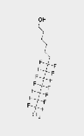 OCCCCCCC(F)(F)C(F)(F)C(F)(F)C(F)(F)C(F)(F)C(F)(F)C(F)(F)C(F)(F)F